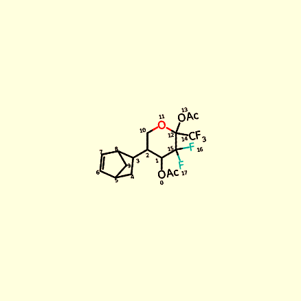 CC(=O)OC1C(C2CC3C=CC2C3)COC(OC(C)=O)(C(F)(F)F)C1(F)F